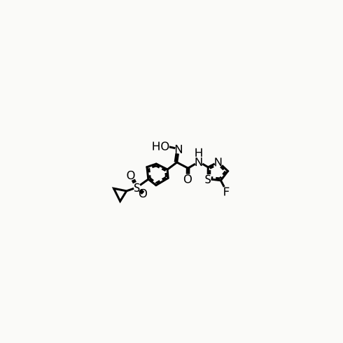 O=C(Nc1ncc(F)s1)/C(=N/O)c1ccc(S(=O)(=O)C2CC2)cc1